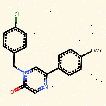 COc1ccc(-c2cn(Cc3ccc(Cl)cc3)c(=O)cn2)cc1